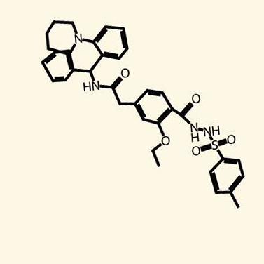 CCOc1cc(CC(=O)NC(c2ccccc2)c2ccccc2N2CCCCC2)ccc1C(=O)NNS(=O)(=O)c1ccc(C)cc1